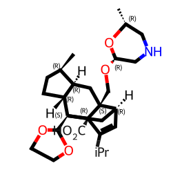 CC(C)C1=C[C@H]2C[C@]3(C4OCCO4)[C@@H]4CC[C@@H](C)[C@H]4C[C@@]2(CO[C@H]2CNC[C@@H](C)O2)[C@]13C(=O)O